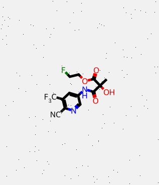 CC(O)(C(=O)Nc1cnc(C#N)c(C(F)(F)F)c1)C(=O)OCCF